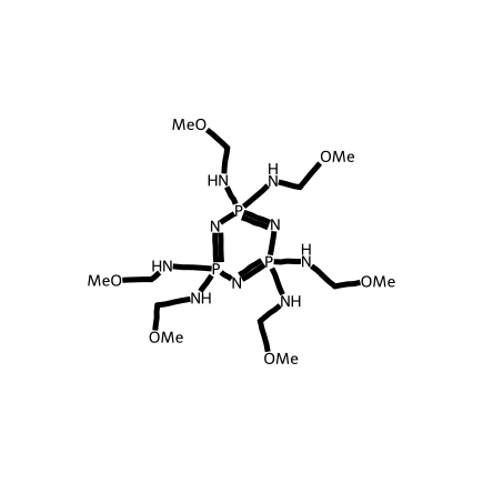 COCNP1(NCOC)=NP(NCOC)(NCOC)=NP(NCOC)(NCOC)=N1